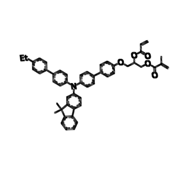 C=CC(=O)OC(COC(=O)C(=C)C)COc1ccc(-c2ccc(N(c3ccc(-c4ccc(CC)cc4)cc3)c3ccc4c(c3)C(C)(C)c3ccccc3-4)cc2)cc1